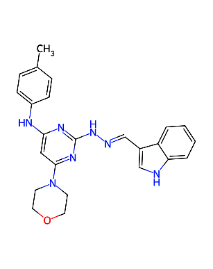 Cc1ccc(Nc2cc(N3CCOCC3)nc(N/N=C/c3c[nH]c4ccccc34)n2)cc1